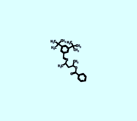 CC(CC(C)OC(=O)c1ccccc1)N=Cc1cc(C(C)(C)C)cc(C(C)(C)C)c1